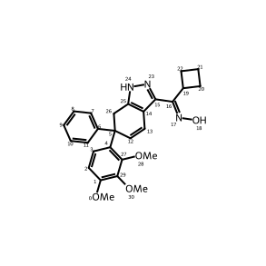 COc1ccc(C2(c3ccccc3)C=Cc3c(C(=NO)C4CCC4)n[nH]c3C2)c(OC)c1OC